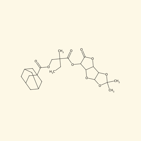 CCC(C)(COC(=O)C12CC3CC(CC(C3)C1)C2)C(=O)OC1C(=O)OC2C3OC(C)(C)OC3OC12